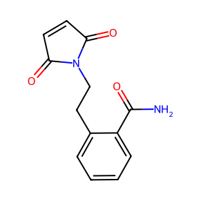 NC(=O)c1ccccc1CCN1C(=O)C=CC1=O